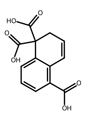 O=C(O)c1cccc2c1C=CCC2(C(=O)O)C(=O)O